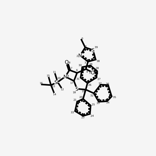 Cc1nc(C(O)C2C(=O)N([Si](C)(C)C(C)(C)C)C2SC(c2ccccc2)(c2ccccc2)c2ccccc2)cs1